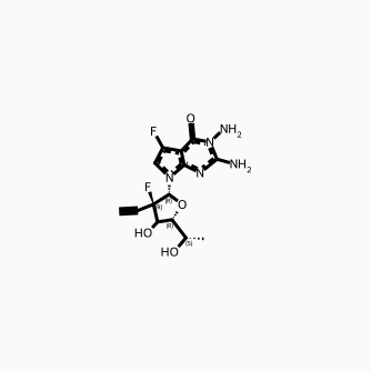 C#C[C@@]1(F)C(O)[C@@H]([C@H](C)O)O[C@H]1n1cc(F)c2c(=O)n(N)c(N)nc21